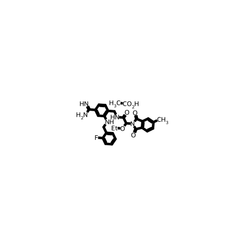 CC(=O)O.CCOC(C(=O)NCc1ccc(C(=N)N)cc1NCc1ccccc1F)N1C(=O)c2ccc(C)cc2C1=O